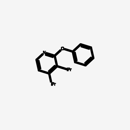 CC(C)c1ccnc(Oc2ccccc2)c1C(C)C